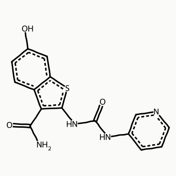 NC(=O)c1c(NC(=O)Nc2cccnc2)sc2cc(O)ccc12